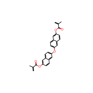 C=C(C)C(=O)Oc1ccc2cc(Oc3ccc4cc(OC(=O)C(=C)C)ccc4c3)ccc2c1